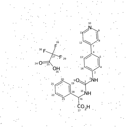 O=C(Nc1ccc(-c2ccncc2)cc1)NC(C(=O)O)c1ccccc1.O=C(O)C(F)(F)F